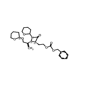 C=C(CO[C@@H]1CCCCO1)[C@@H]1[C@H](CCOC(=O)OCc2ccccc2)C(=O)N1C1CCCCO1